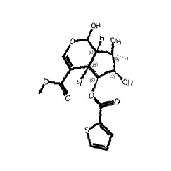 COC(=O)C1=COC(O)[C@H]2[C@@H]1[C@H](OC(=O)c1cccs1)[C@H](O)[C@]2(C)O